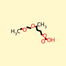 CCOCCOC(C)CCCOC(=O)O